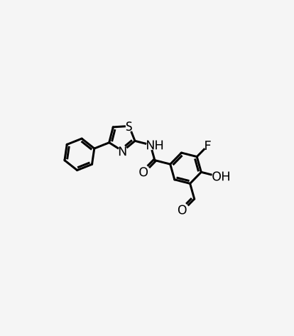 O=Cc1cc(C(=O)Nc2nc(-c3ccccc3)cs2)cc(F)c1O